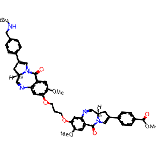 COC(=O)c1ccc(C2=CN3C(=O)c4cc(OC)c(OCCCOc5cc6c(cc5OC)C(=O)N5C=C(c7ccc(CNC(C)(C)C)cc7)C[C@H]5C=N6)cc4N=C[C@@H]3C2)cc1